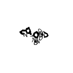 O=S(=O)(c1ccc(Sc2cccc3cccnc23)c2nonc12)N1CCCCC1